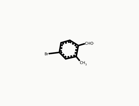 Cc1cc(Br)ccc1[C]=O